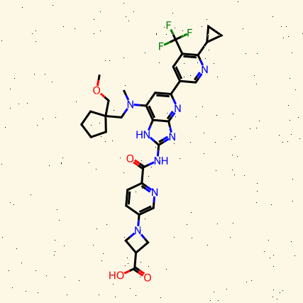 COCC1(CN(C)c2cc(-c3cnc(C4CC4)c(C(F)(F)F)c3)nc3nc(NC(=O)c4ccc(N5CC(C(=O)O)C5)cn4)[nH]c23)CCCC1